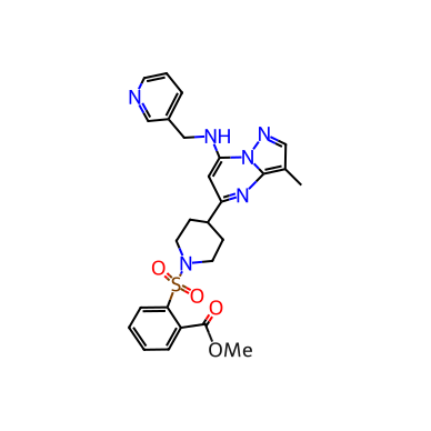 COC(=O)c1ccccc1S(=O)(=O)N1CCC(c2cc(NCc3cccnc3)n3ncc(C)c3n2)CC1